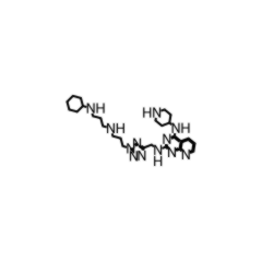 c1cnc2nc(NCc3nnn(CCCNCCCNC4CCCCC4)n3)nc(NC3CCNCC3)c2c1